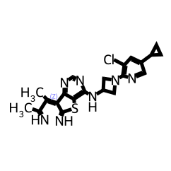 CC(=N)/C(C)=C1\C(=N)Sc2c(NC3CN(c4ncc(C5CC5)cc4Cl)C3)ncnc21